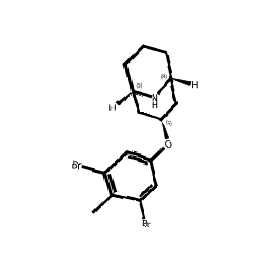 Cc1c(Br)cc(O[C@@H]2C[C@H]3CCC[C@@H](C2)N3)cc1Br